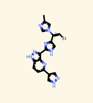 CC/C=C(\c1c[nH]c(-c2n[nH]c3ccc(-c4cn[nH]c4)nc23)n1)n1cnc(C)c1